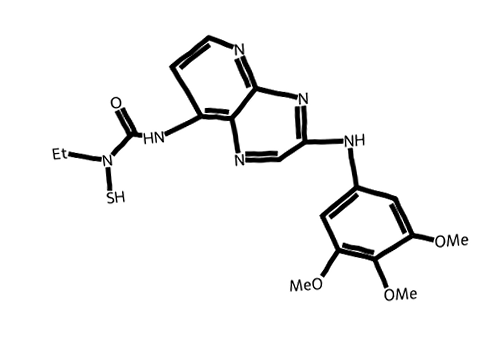 CCN(S)C(=O)Nc1ccnc2nc(Nc3cc(OC)c(OC)c(OC)c3)cnc12